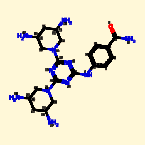 NC(=O)c1ccc(Nc2nc(N3C[C@H](N)C[C@H](N)C3)nc(N3C[C@H](N)C[C@H](N)C3)n2)cc1